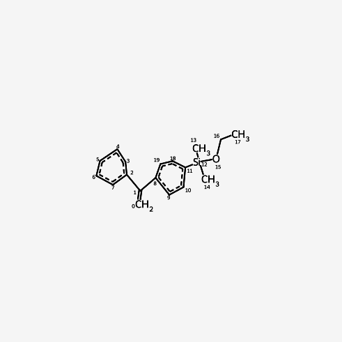 C=C(c1ccccc1)c1ccc([Si](C)(C)OCC)cc1